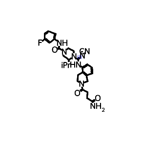 CC(C)C1CN(C(=O)Nc2cccc(F)c2)CCN1/C(=N\C#N)Nc1cccc2c1CCN(C(=O)CCC(N)=O)C2